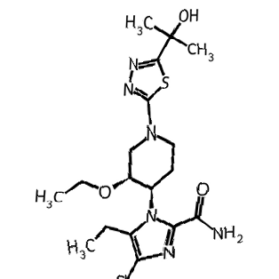 CCO[C@H]1CN(c2nnc(C(C)(C)O)s2)CC[C@H]1n1c(C(N)=O)nc(Cl)c1CC